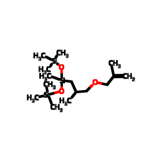 C=C(C)COCC(C)C[Si](C)(O[Si](C)(C)C)O[Si](C)(C)C